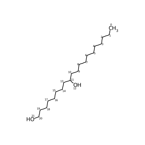 CCCCCCCCCCCC(O)CCCCCCCCO